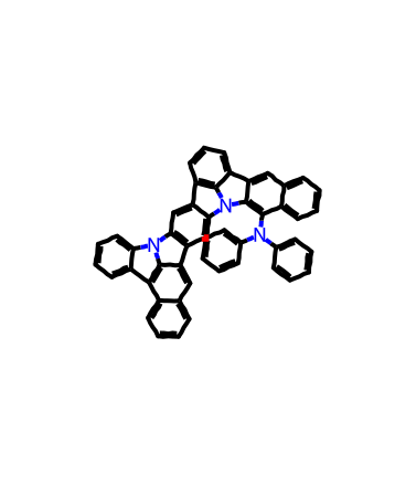 c1ccc(N(c2ccccc2)c2c3ccccc3cc3c4cccc5c6cc7c(cc6n(c23)c54)c2cc3ccccc3c3c4ccccc4n7c23)cc1